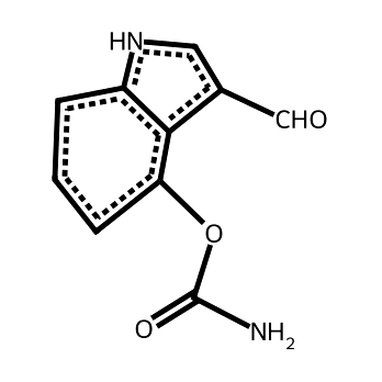 NC(=O)Oc1cccc2[nH]cc(C=O)c12